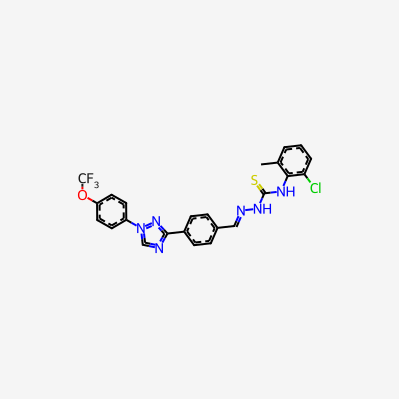 Cc1cccc(Cl)c1NC(=S)NN=Cc1ccc(-c2ncn(-c3ccc(OC(F)(F)F)cc3)n2)cc1